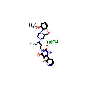 COc1cccc2c1N1CCN(C(C)CCn3c(=O)[nH]c4c(sc5ncccc54)c3=O)CC1CO2.Cl.Cl.Cl